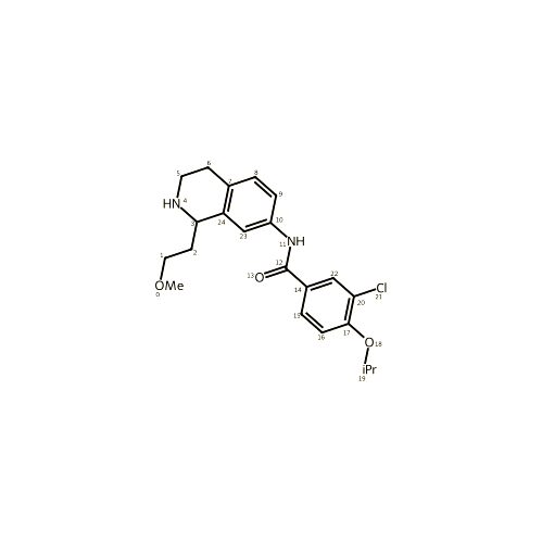 COCCC1NCCc2ccc(NC(=O)c3ccc(OC(C)C)c(Cl)c3)cc21